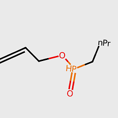 C=CCO[PH](=O)CCCC